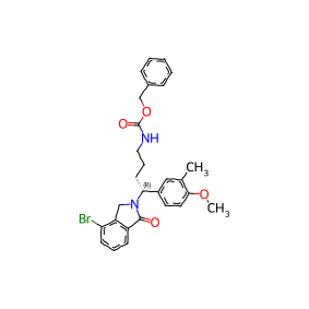 COc1ccc([C@@H](CCCNC(=O)OCc2ccccc2)N2Cc3c(Br)cccc3C2=O)cc1C